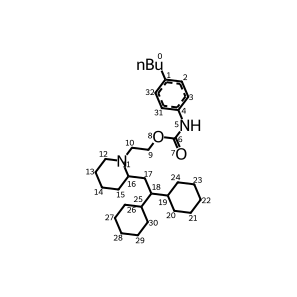 CCCCc1ccc(NC(=O)OCCN2CCCCC2CC(C2CCCCC2)C2CCCCC2)cc1